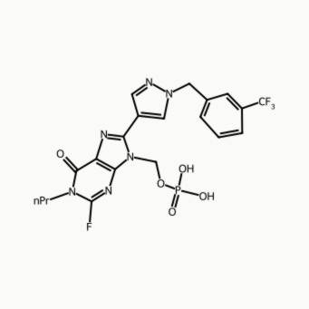 CCCn1c(F)nc2c(nc(-c3cnn(Cc4cccc(C(F)(F)F)c4)c3)n2COP(=O)(O)O)c1=O